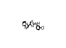 Clc1cccc(Nc2nc(-c3cnc4sccn34)cs2)c1